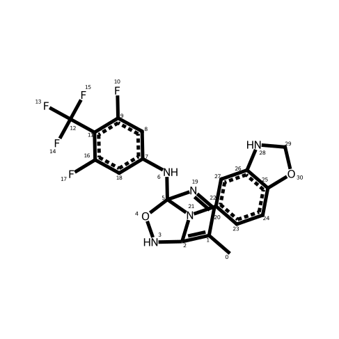 CC1=C2NOC(Nc3cc(F)c(C(F)(F)F)c(F)c3)(N=C1)N2c1ccc2c(c1)NCO2